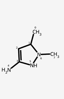 CC1C=C(N)NN1C